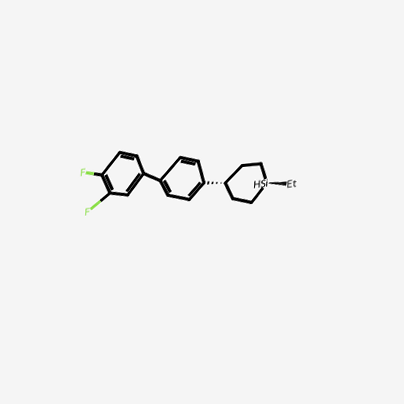 CC[Si@H]1CC[C@H](c2ccc(-c3ccc(F)c(F)c3)cc2)CC1